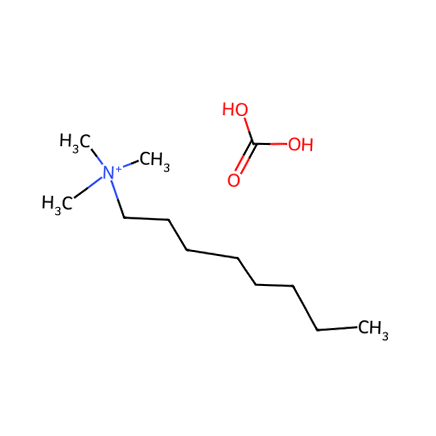 CCCCCCCC[N+](C)(C)C.O=C(O)O